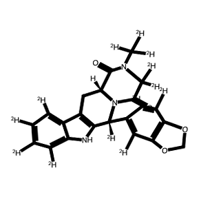 [2H]c1c([2H])c([C@]2([2H])c3[nH]c4c([2H])c([2H])c([2H])c([2H])c4c3C[C@@H]3C(=O)N(C([2H])([2H])[2H])C([2H])([2H])C(=O)N32)c([2H])c2c1OCO2